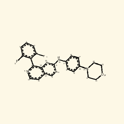 Fc1cccc(F)c1-c1nccc2cnc(Nc3ccc(N4CCOCC4)cc3)nc12